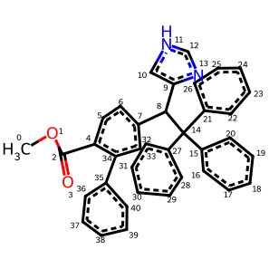 COC(=O)c1ccc(C(c2c[nH]cn2)C(c2ccccc2)(c2ccccc2)c2ccccc2)cc1-c1ccccc1